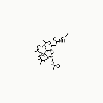 CCCNC(=O)CC[C@H]1O[C@H](COC(C)=O)[C@@H](OC(C)=O)[C@H](OC(C)=O)[C@H]1OC(C)=O